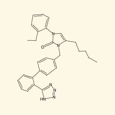 CCCCCc1cn(-c2ccccc2CC)c(=O)n1Cc1ccc(-c2ccccc2-c2nnn[nH]2)cc1